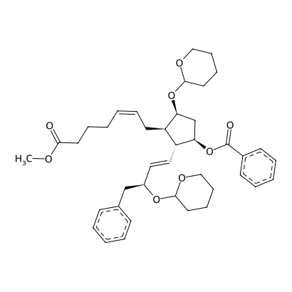 COC(=O)CCC/C=C\C[C@@H]1[C@@H](/C=C/[C@H](Cc2ccccc2)OC2CCCCO2)[C@H](OC(=O)c2ccccc2)C[C@@H]1OC1CCCCO1